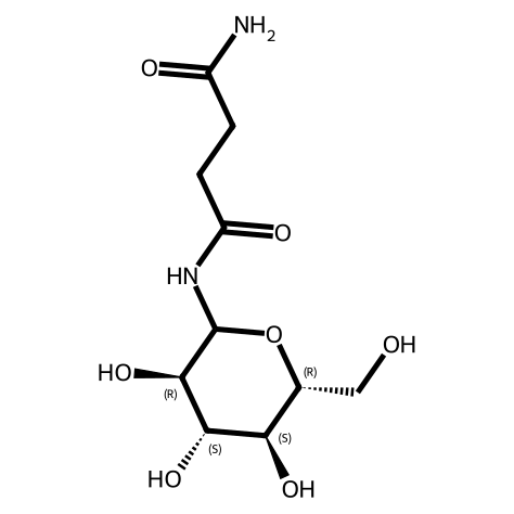 NC(=O)CCC(=O)NC1O[C@H](CO)[C@@H](O)[C@H](O)[C@H]1O